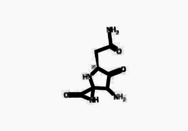 NC(=O)C[C@@H]1NC2(NC2=O)C(N)C1=O